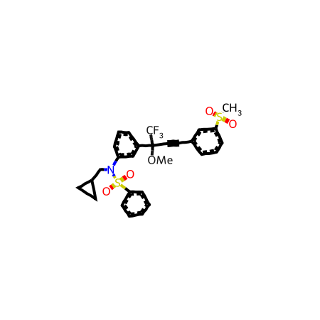 COC(C#Cc1cccc(S(C)(=O)=O)c1)(c1cccc(N(CC2CC2)S(=O)(=O)c2ccccc2)c1)C(F)(F)F